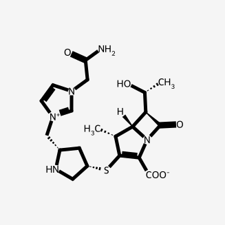 C[C@@H](O)[C@H]1C(=O)N2C(C(=O)[O-])=C(S[C@@H]3CN[C@H](C[n+]4ccn(CC(N)=O)c4)C3)[C@H](C)[C@H]12